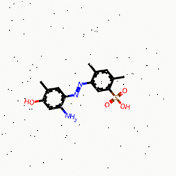 Cc1cc(/N=N/c2cc(S(=O)(=O)O)c(C)cc2C)c(N)cc1O